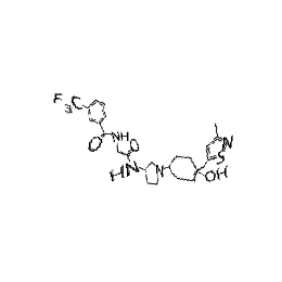 Cc1cc(C2(O)CCC(N3CCC(NC(=O)CNC(=O)c4cccc(C(F)(F)F)c4)C3)CC2)sn1